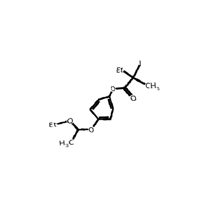 CCOC(C)Oc1ccc(OC(=O)C(C)(I)CC)cc1